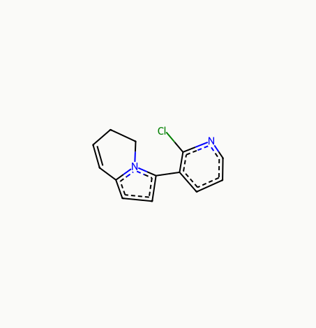 Clc1ncccc1-c1ccc2n1CCC=C2